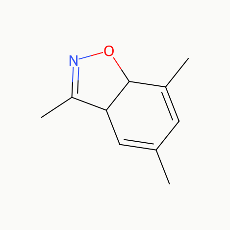 CC1=CC2C(C)=NOC2C(C)=C1